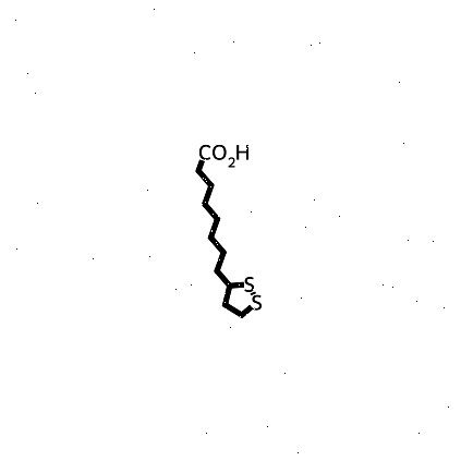 O=C(O)CCCCCCCC1CCSS1